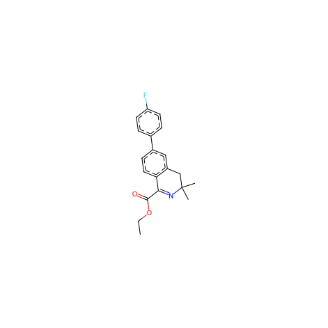 CCOC(=O)C1=NC(C)(C)Cc2cc(-c3ccc(F)cc3)ccc21